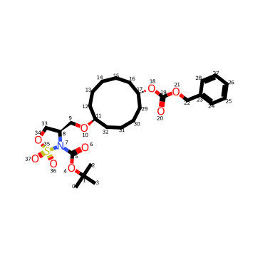 CC(C)(C)OC(=O)N1[C@H](CO[C@H]2CCCCC[C@H](OC(=O)OCc3ccccc3)CCCC2)COS1(=O)=O